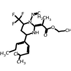 C=NN1/C(=C(\C)C(=O)OCC)NC(C(/C=C\C(C)Cl)=C/CC)CC1C(F)(F)F